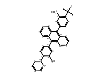 CC(C)(O)c1ccc(-c2c3ccccc3c(-c3ccc(-c4ccccn4)c(O)c3)c3ccccc23)cc1S(=O)(=O)O